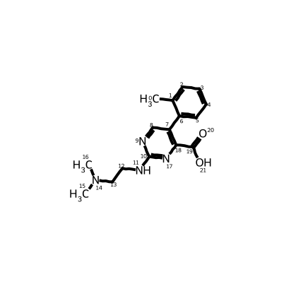 Cc1ccccc1-c1cnc(NCCN(C)C)nc1C(=O)O